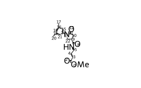 COC(=O)/C=C/CNC(=O)C1CC(=O)N(c2cc(C)cc(C)c2)C1